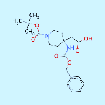 CC(C)(C)OC(=O)N1CCC(CC(=O)O)(NC(=O)OCc2ccccc2)CC1